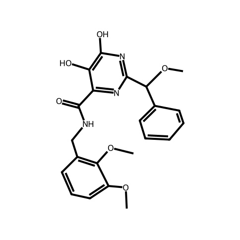 COc1cccc(CNC(=O)c2nc(C(OC)c3ccccc3)nc(O)c2O)c1OC